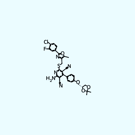 Cc1oc(-c2ccc(Cl)c(F)c2)nc1CSc1nc(N)c(C#N)c(-c2ccc(OC[C@@H]3COC(C)(C)O3)cc2)c1C#N